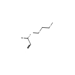 CCCCOC(C)C=O